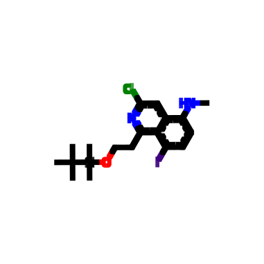 CNc1ccc(I)c2c(CCO[Si](C)(C)C(C)(C)C)nc(Cl)cc12